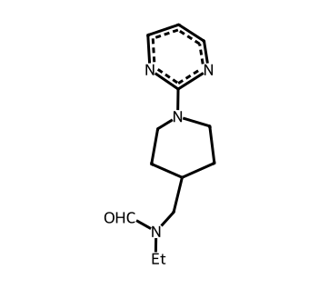 CCN(C=O)CC1CCN(c2ncccn2)CC1